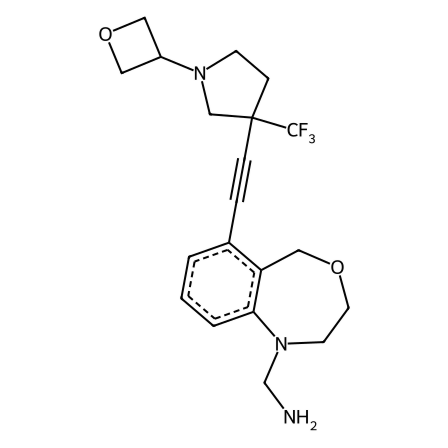 NCN1CCOCc2c(C#CC3(C(F)(F)F)CCN(C4COC4)C3)cccc21